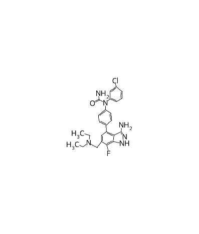 CCN(CC)Cc1cc(-c2ccc(N(C(N)=O)c3cccc(Cl)c3)cc2)c2c(N)n[nH]c2c1F